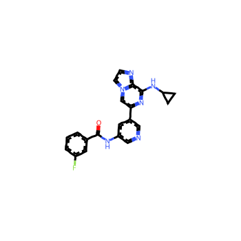 O=C(Nc1cncc(-c2cn3ccnc3c(NC3CC3)n2)c1)c1cccc(F)c1